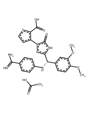 CC(=O)O.COc1ccc([C@H](Nc2ccc(C(=N)N)cc2)c2nn(-c3ccsc3C(=O)O)c(=O)[nH]2)cc1OC